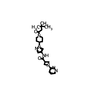 CC(C)(C)CC(=O)N1CCC(n2cc(NC(=O)C3CN(c4cccnn4)C3)cn2)CC1